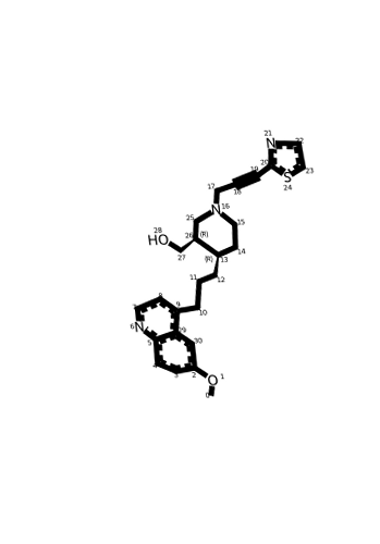 COc1ccc2nccc(CCC[C@@H]3CCN(CC#Cc4nccs4)C[C@@H]3CO)c2c1